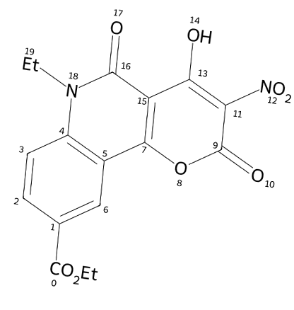 CCOC(=O)c1ccc2c(c1)c1oc(=O)c([N+](=O)[O-])c(O)c1c(=O)n2CC